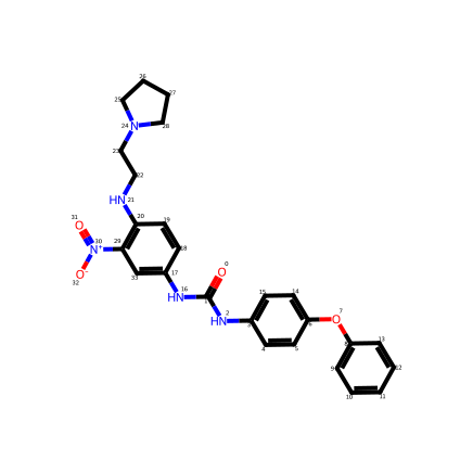 O=C(Nc1ccc(Oc2ccccc2)cc1)Nc1ccc(NCCN2CCCC2)c([N+](=O)[O-])c1